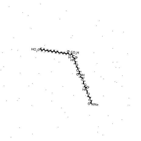 CNC(=O)COCCOCCNC(=O)COCCOCCNC(=O)COCCOCCNC(=O)CC[C@H](NC(=O)CCCCCCCCCCCCCCCCC(=O)O)C(=O)O